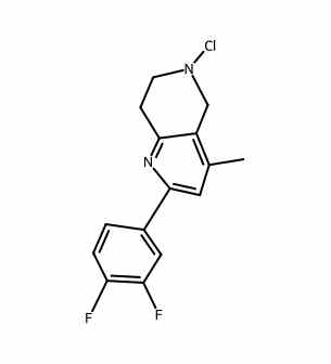 Cc1cc(-c2ccc(F)c(F)c2)nc2c1CN(Cl)CC2